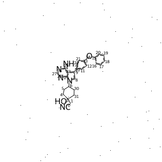 N#CCC1(O)CCC(n2cc(-c3ccc(Oc4ccccc4)cc3)c3c(N)ncnc32)CC1